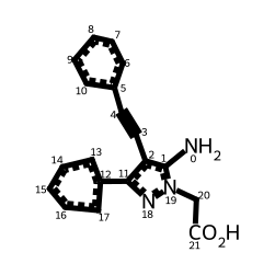 Nc1c(C#Cc2ccccc2)c(-c2ccccc2)nn1CC(=O)O